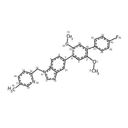 COc1cc(-c2ccc3c(ccn3Cc3ccc(C)cn3)c2)c(OC)cc1-c1ccc(F)cc1